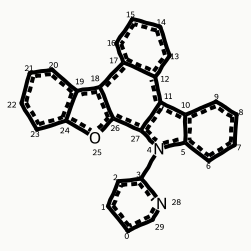 c1ccc(-n2c3ccccc3c3c4ccccc4c4c5ccccc5oc4c32)nc1